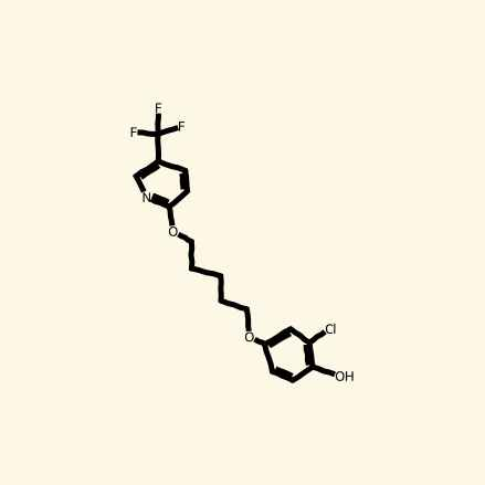 Oc1ccc(OCCCCCOc2ccc(C(F)(F)F)cn2)cc1Cl